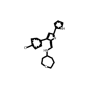 Clc1ccc(C2=CC(c3ccc[nH]3)=NC2=CNC2CCCCCC2)cc1